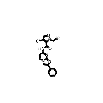 CC(C)Cn1ncc(Cl)c1C(=O)Nc1ccn2cc(-c3ccccc3)nc2n1